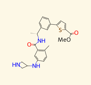 COC(=O)c1ccc(-c2cccc([C@@H](C)NC(=O)c3cc(NC4CNC4)ccc3C)c2)s1